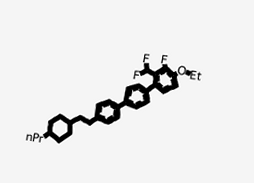 CCCC1CCC(CCc2ccc(-c3ccc(-c4ccc(OCC)c(F)c4C(F)F)cc3)cc2)CC1